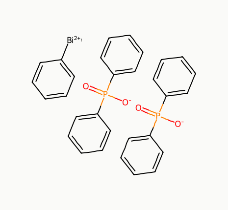 O=P([O-])(c1ccccc1)c1ccccc1.O=P([O-])(c1ccccc1)c1ccccc1.[Bi+2][c]1ccccc1